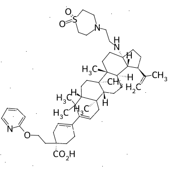 C=C(C)[C@@H]1CC[C@]2(NCCN3CCS(=O)(=O)CC3)CC[C@]3(C)[C@H](CC[C@@H]4[C@@]5(C)CC=C(C6=CC[C@@](CCOc7ccccn7)(C(=O)O)CC6)C(C)(C)[C@@H]5CC[C@]43C)[C@@H]12